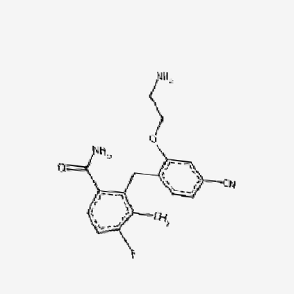 Cc1c(F)ccc(C(N)=O)c1Cc1ccc(C#N)cc1OCCN